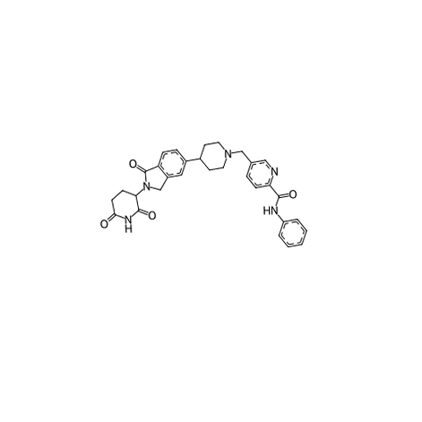 O=C1CCC(N2Cc3cc(C4CCN(Cc5ccc(C(=O)Nc6ccccc6)nc5)CC4)ccc3C2=O)C(=O)N1